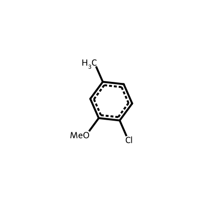 [CH]Oc1cc(C)ccc1Cl